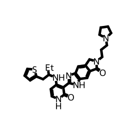 CCC(Cc1cccs1)Nc1cc[nH]c(=O)c1-c1nc2cc3c(cc2[nH]1)C(=O)N(CCCN1CCCC1)C3